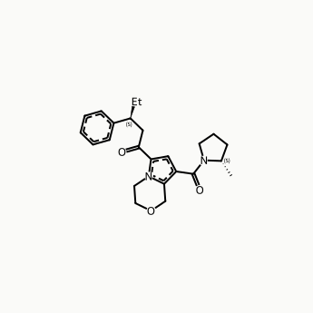 CC[C@@H](CC(=O)c1cc(C(=O)N2CCC[C@@H]2C)c2n1CCOC2)c1ccccc1